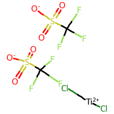 O=S(=O)([O-])C(F)(F)F.O=S(=O)([O-])C(F)(F)F.[Cl][Ti+2][Cl]